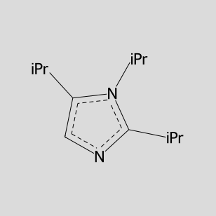 CC(C)c1cnc(C(C)C)n1C(C)C